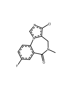 CN1Cc2c(Cl)ncn2-c2ccc(F)cc2C1=O